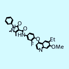 CCc1cc2c(Oc3ccc(NC(=O)c4c(C)n(C)n(-c5ccccc5)c4=O)cc3F)ccnc2cc1OC